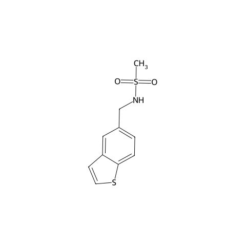 CS(=O)(=O)NCc1ccc2sccc2c1